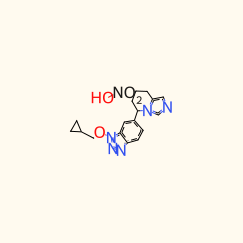 O=[N+]([O-])O.c1cc2nnn(OCC3CC3)c2cc1C1CCCc2cncn21